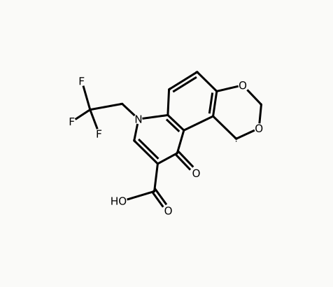 O=C(O)c1cn(CC(F)(F)F)c2ccc3c(c2c1=O)[CH]OCO3